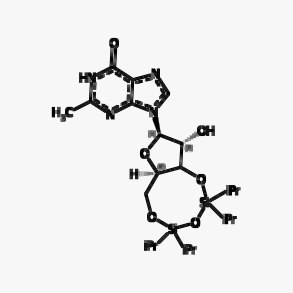 Cc1nc2c(ncn2[C@@H]2O[C@@H]3CO[Si](C(C)C)(C(C)C)O[Si](C(C)C)(C(C)C)OC3[C@H]2O)c(=O)[nH]1